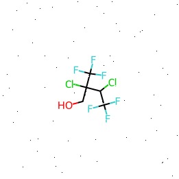 OCC(Cl)(C(Cl)C(F)(F)F)C(F)(F)F